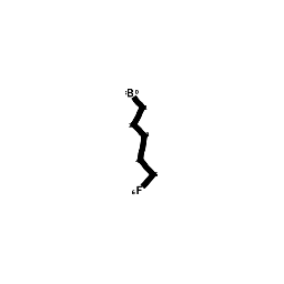 [B]CCCCCF